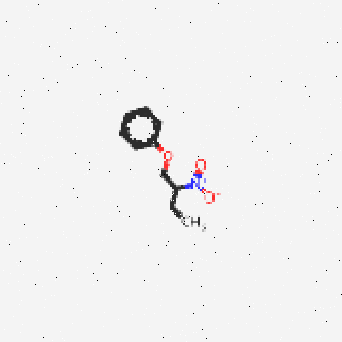 CCC(COc1ccccc1)[N+](=O)[O-]